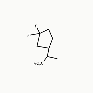 CC(C(=O)O)C1CCC(F)(F)C1